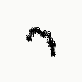 COc1cc2c(cc1OCCCOc1cc3c(cc1OC)C(=O)N1C=C(c4ccc(N5CCN(C)CC5)cc4)C[C@H]1C=N3)N=C[C@@H]1CC(c3ccc(NC(=O)[C@@H](C)NC(=O)[C@@H](NC(=O)CCCCCN4C(=O)C=CC4=O)C(C)C)cc3)=CN1C2=O